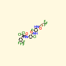 O=C(CSCC(F)(F)F)Nc1ccc(NC(=O)c2cc(NC(=O)[C@H]3[C@H](c4ccc(F)c(C(F)(F)F)c4)C3(Cl)Cl)ccc2Cl)c(F)c1